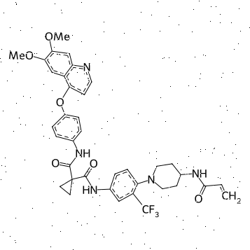 C=CC(=O)NC1CCN(c2ccc(NC(=O)C3(C(=O)Nc4ccc(Oc5ccnc6cc(OC)c(OC)cc56)cc4)CC3)cc2C(F)(F)F)CC1